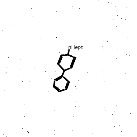 CCCCCCC[C]1C=CC(c2ccccc2)C=C1